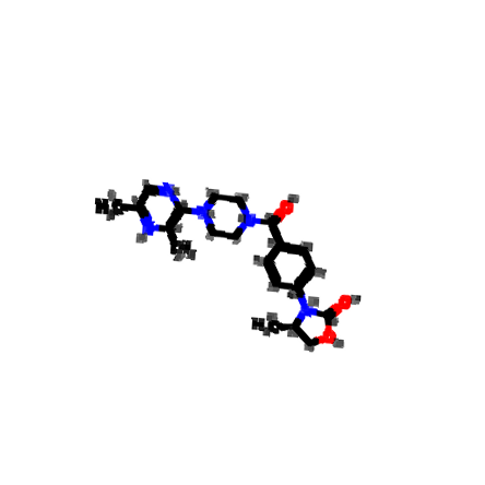 Cc1cnc(N2CCN(C(=O)c3ccc(N4C(=O)OC[C@H]4C)cc3)CC2)c(C)n1